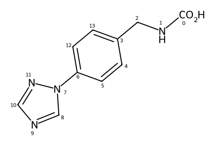 O=C(O)NCc1ccc(-n2cncn2)cc1